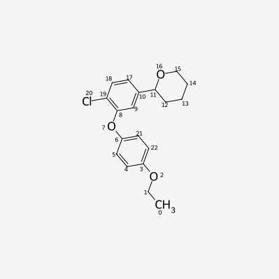 CCOc1ccc(Oc2cc(C3CCCCO3)ccc2Cl)cc1